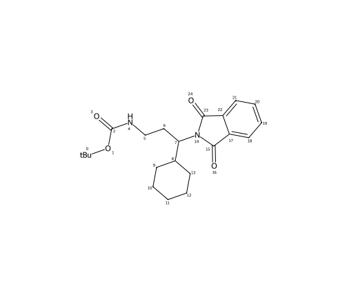 CC(C)(C)OC(=O)NCCC(C1CCCCC1)N1C(=O)c2ccccc2C1=O